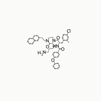 Cc1cc(Cl)ccc1C[C@@H](NC(=O)c1ccc(Oc2ccccc2)cc1)C(=O)N1CCN(CCc2ccc3ccccc3c2)C(=O)[C@@H]1CCCCN